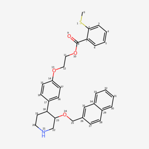 CSc1ccccc1C(=O)OCCOc1ccc(C2CCNCC2OCc2ccc3ccccc3c2)cc1